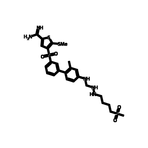 CSc1sc(C(=N)N)cc1S(=O)(=O)c1cccc(-c2ccc(NCNNCCCCS(C)(=O)=O)cc2C)c1